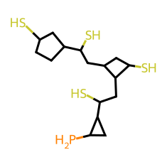 PC1CC1C(S)CC1C(S)CC1CC(S)C1CCC(S)C1